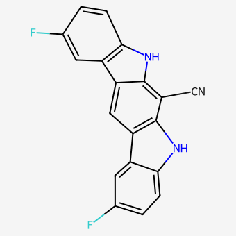 N#Cc1c2[nH]c3ccc(F)cc3c2cc2c1[nH]c1ccc(F)cc12